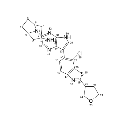 NC1CC2CCC(C1)N2c1cnc2c(-c3ccc4nc(C5CCOC5)sc4c3Cl)c[nH]c2n1